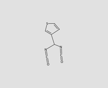 O=C=NC(N=C=O)c1ccsc1